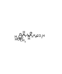 CC(C)(O)OC(=O)NCCNC(=O)CCCC(=O)O